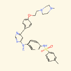 Cc1ccc(S(=O)(=O)Nc2ccc(Nc3cc(-c4ccc(OCCN5CCN(C)CC5)cc4)ncn3)cc2)cc1